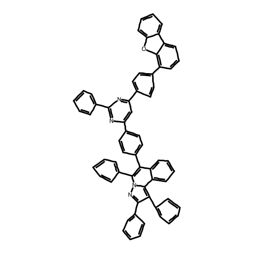 c1ccc(-c2nc(-c3ccc(-c4c(-c5ccccc5)n5nc(-c6ccccc6)c(-c6ccccc6)c5c5ccccc45)cc3)cc(-c3ccc(-c4cccc5c4oc4ccccc45)cc3)n2)cc1